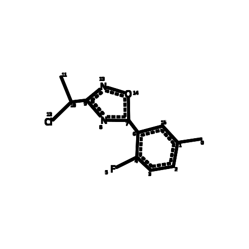 Cc1ccc(F)c(-c2nc(C(C)Cl)no2)c1